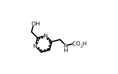 O=C(O)NCc1ccnc(CO)n1